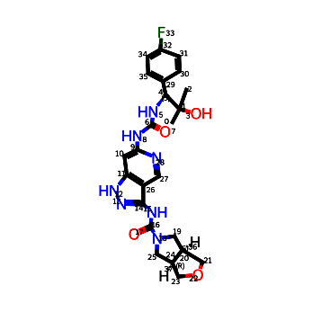 CC(C)(O)[C@@H](NC(=O)Nc1cc2[nH]nc(NC(=O)N3C[C@H]4COC[C@H]4C3)c2cn1)c1ccc(F)cc1